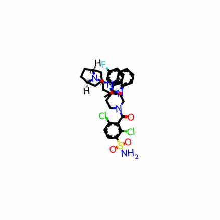 Cc1nc2ccccc2n1[C@H]1C[C@H]2CC[C@@H](C1)N2CCC1(c2cccc(F)c2)CCN(C(=O)c2c(Cl)ccc(S(N)(=O)=O)c2Cl)CC1